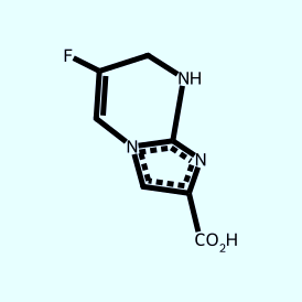 O=C(O)c1cn2c(n1)NCC(F)=C2